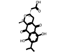 CC(C)c1cc(O)c2c(c1O)C(=O)C1=C(C[C@@H](CC(=O)O)O[C@@H]1C)C2=O